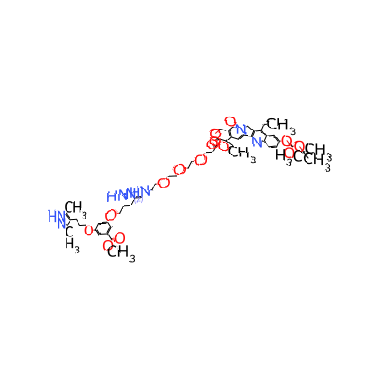 CCc1c2c(nc3ccc(OC(=O)OC(C)(C)C)cc13)-c1cc3c(c(=O)n1C2)COC(=O)C3(CC)OC(=O)CCOCCOCCOCCN/C=C(/CCCOc1cc(OCCCc2c(C)n[nH]c2C)cc(C(=O)OC)c1)N=N